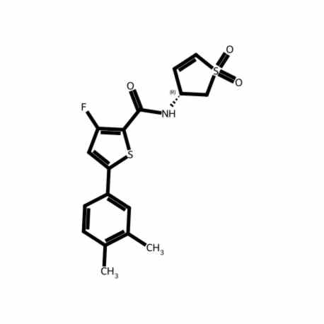 Cc1ccc(-c2cc(F)c(C(=O)N[C@@H]3C=CS(=O)(=O)C3)s2)cc1C